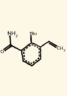 C=Cc1cccc(C(N)=O)c1C(C)(C)C